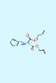 C=CCOC(=O)C(NCc1ccccc1)C(=O)OCC=C